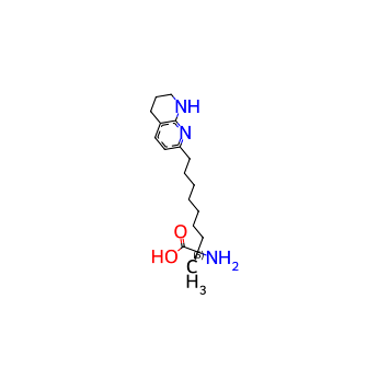 C[C@](N)(CCCCCCCc1ccc2c(n1)NCCC2)C(=O)O